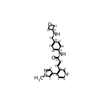 Cn1cc(-c2ccncc2C=CC(=O)Nc2ccc(CNC3COC3)cc2)cn1